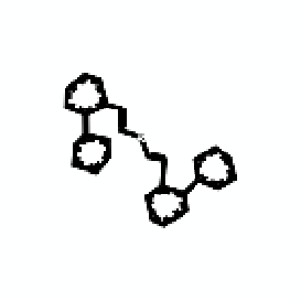 C(=C\c1ccccc1-c1ccccc1)/S/C=C/c1ccccc1-c1ccccc1